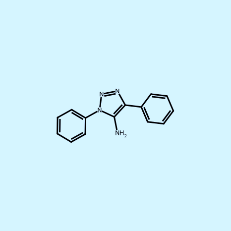 Nc1c(-c2ccccc2)nnn1-c1ccccc1